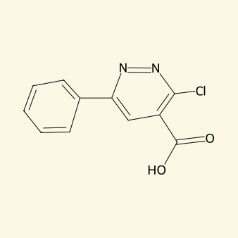 O=C(O)c1cc(-c2ccccc2)nnc1Cl